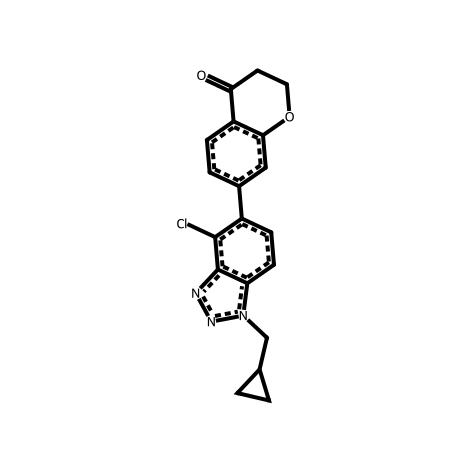 O=C1CCOc2cc(-c3ccc4c(nnn4CC4CC4)c3Cl)ccc21